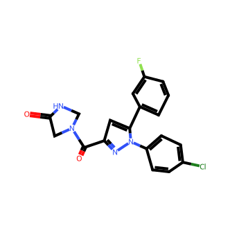 O=C1CN(C(=O)c2cc(-c3cccc(F)c3)n(-c3ccc(Cl)cc3)n2)CN1